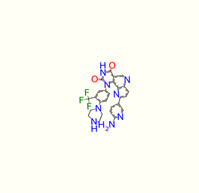 Nc1ccc(-c2ccc3ncc4c(=O)[nH]c(=O)n(-c5ccc(N6CCNCC6)c(C(F)(F)F)c5)c4c3n2)cn1